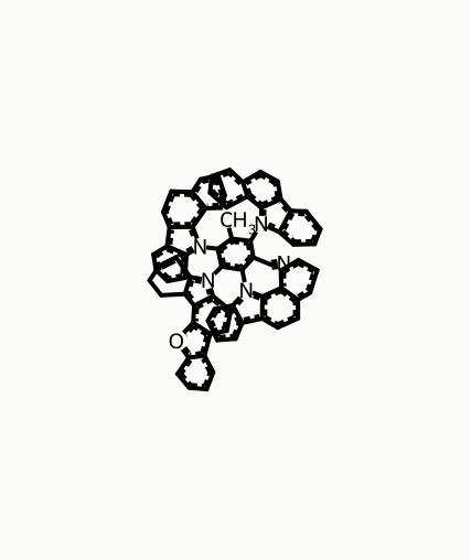 Cc1c(-n2c3ccccc3c3ccc4ccccc4c32)c(C#N)c(-n2c3ccccc3c3ccc4ccccc4c32)c(-n2c3c(c4c5oc6ccccc6c5ccc42)CCC=C3)c1-n1c2ccccc2c2ccc3ccccc3c21